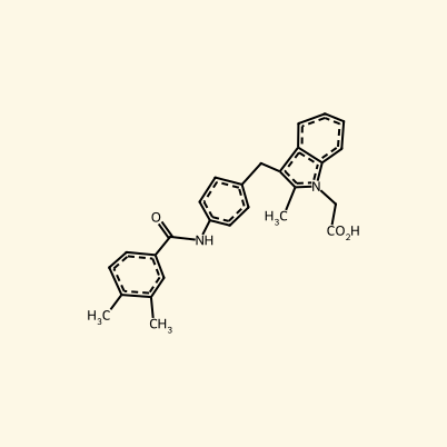 Cc1ccc(C(=O)Nc2ccc(Cc3c(C)n(CC(=O)O)c4ccccc34)cc2)cc1C